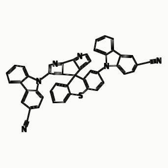 N#Cc1ccc2c(c1)c1ccccc1n2-c1ccc2c(c1)C1(c3ccccc3S2)c2cccnc2-c2ncc(-n3c4ccccc4c4cc(C#N)ccc43)cc21